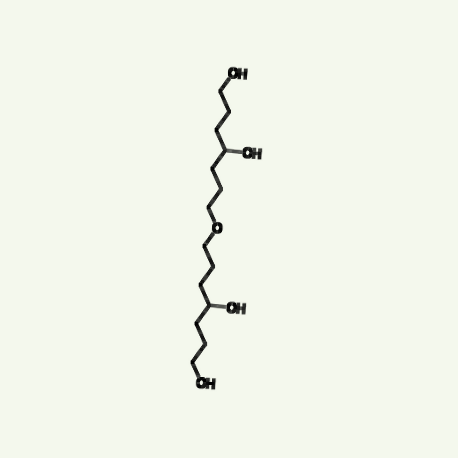 OCCCC(O)CCCOCCCC(O)CCCO